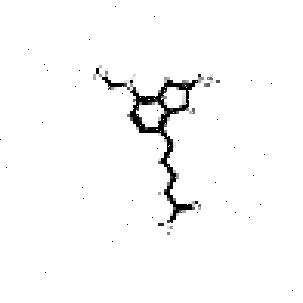 CCOc1ccc(CCCCC(=O)O)c2c1CC(N)C2